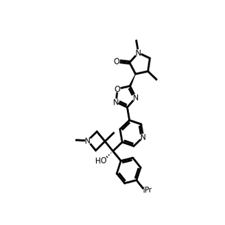 CC(C)c1ccc([C@](O)(c2cncc(-c3noc([C@H]4C(=O)N(C)CC4C)n3)c2)C2(C)CN(C)C2)cc1